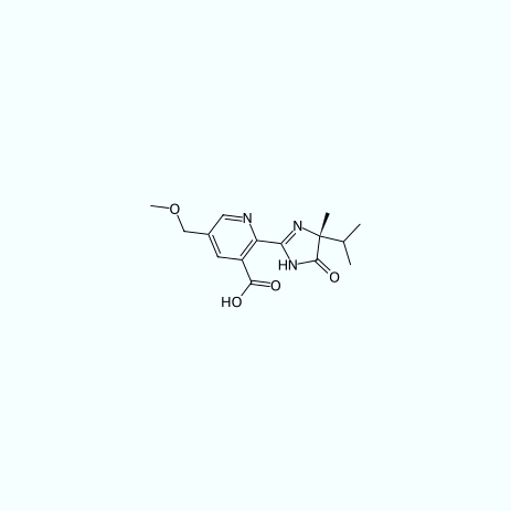 COCc1cnc(C2=N[C@](C)(C(C)C)C(=O)N2)c(C(=O)O)c1